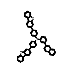 c1cc(-c2ccc3ccccc3c2)cc(N(c2ccc(-c3ccc4c(c3)oc3ccccc34)cc2)c2ccc(-c3ccc4c(c3)oc3ccccc34)cc2)c1